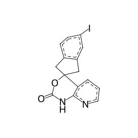 O=C1Nc2ncccc2C2(Cc3ccc(I)cc3C2)O1